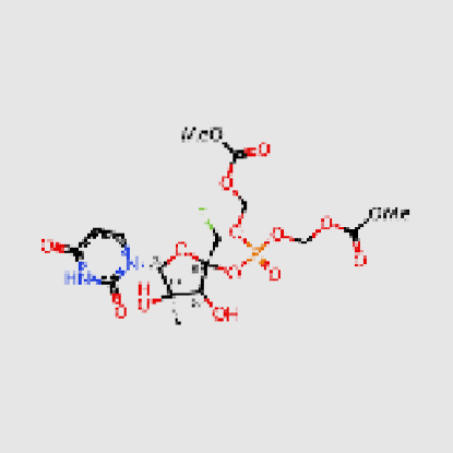 COC(=O)OCOP(=O)(OCOC(=O)OC)O[C@@]1(CF)O[C@@H](n2ccc(=O)[nH]c2=O)[C@](C)(O)[C@@H]1O